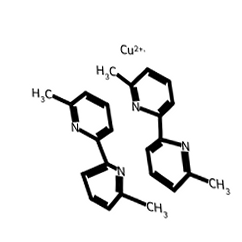 Cc1cccc(-c2cccc(C)n2)n1.Cc1cccc(-c2cccc(C)n2)n1.[Cu+2]